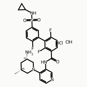 C[C@@H]1C[C@H](N)CN(c2ccncc2NC(=O)c2ccc(F)c(-c3cc(S(=O)(=O)NC4CC4)ccc3F)c2F)C1.Cl.Cl